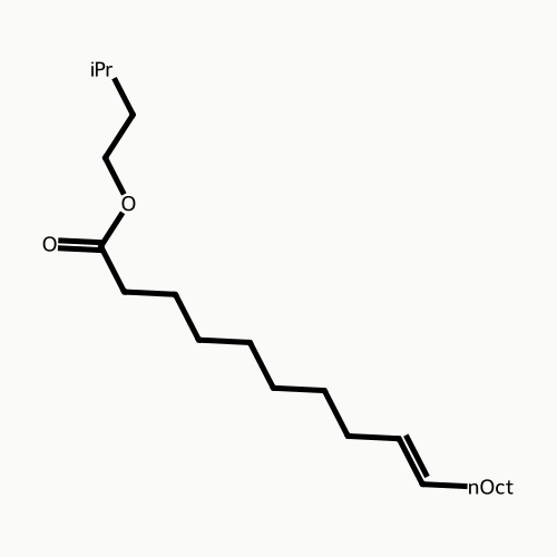 CCCCCCCCC=CCCCCCCCC(=O)OCCC(C)C